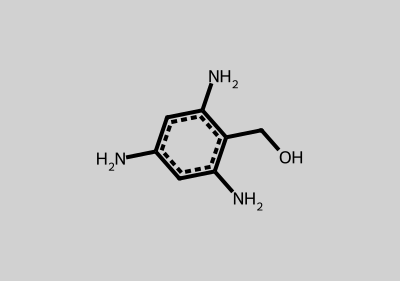 Nc1cc(N)c(CO)c(N)c1